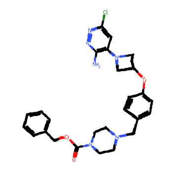 Nc1nnc(Cl)cc1N1CC(Oc2ccc(CN3CCN(C(=O)OCc4ccccc4)CC3)cc2)C1